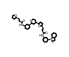 O=C(/C=C/c1ccco1)Nc1cccc(-c2cc(-c3ccc(/C=C/C(=O)Nc4cccc(-n5ncc6ccccc65)c4)o3)ccn2)c1